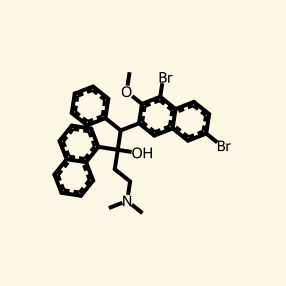 COc1c(C(c2ccccc2)C(O)(CCN(C)C)c2cccc3ccccc23)cc2cc(Br)ccc2c1Br